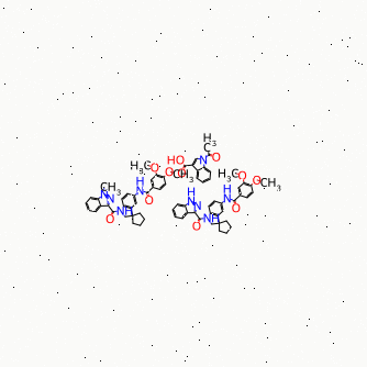 CC(=O)n1cc(C(=O)O)c2ccccc21.COc1ccc(C(=O)Nc2cccc(C3(CNC(=O)c4n[nH]c5ccccc45)CCCC3)c2)cc1OC.COc1ccc(C(=O)Nc2cccc(C3(CNC(=O)c4nn(C)c5ccccc45)CCCC3)c2)cc1OC